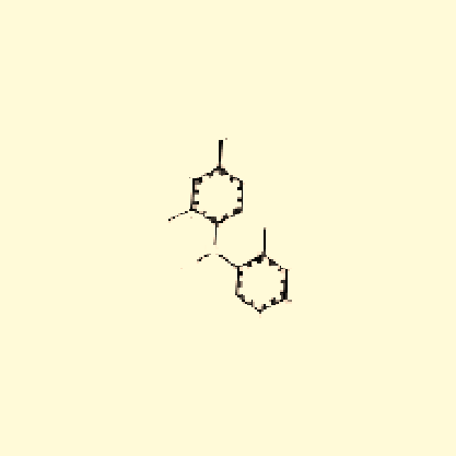 Cc1ccc([S+]([O-])c2ccccc2C)c(C)c1